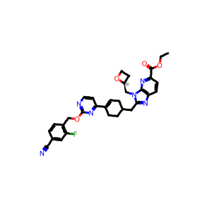 CCOC(=O)c1ccc2nc(CC3CC=C(c4ccnc(OCc5ccc(C#N)cc5F)n4)CC3)n(C[C@@H]3CCO3)c2n1